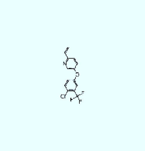 C=Cc1ccc(Oc2ccc(Cl)c(C(F)(F)F)c2)cn1